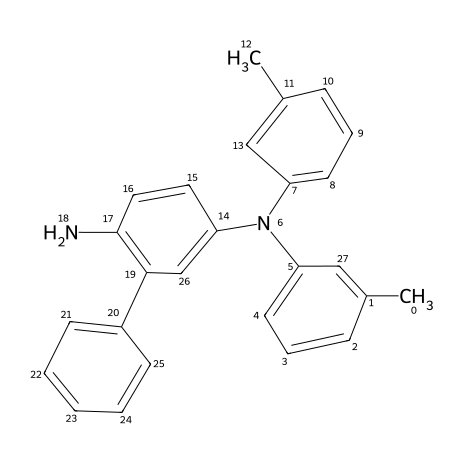 Cc1cccc(N(c2cccc(C)c2)c2ccc(N)c(-c3ccccc3)c2)c1